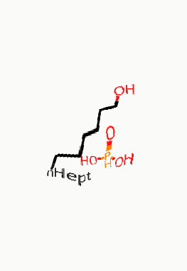 CCCCCCCCCCCCCO.O=[PH](O)O